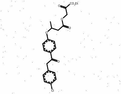 CCOC(=O)C(=O)COC(=O)CC(C)Oc1ccc(C(=O)Cc2ccc(Cl)cc2)cc1